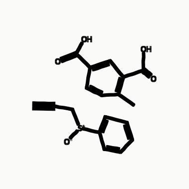 C#CC[S+]([O-])c1ccccc1.Cc1ccc(C(=O)O)cc1C(=O)O